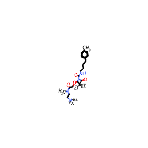 CCN(CC)CCN(C)C(=O)COC1N(C(=O)NCCCCc2ccc(C)cc2)C(=O)C1(CC)CC